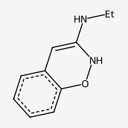 CCNC1=Cc2ccccc2ON1